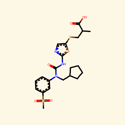 CC(CSc1cnc(NC(=O)N(CC2CCCC2)c2cccc(S(C)(=O)=O)c2)s1)C(=O)O